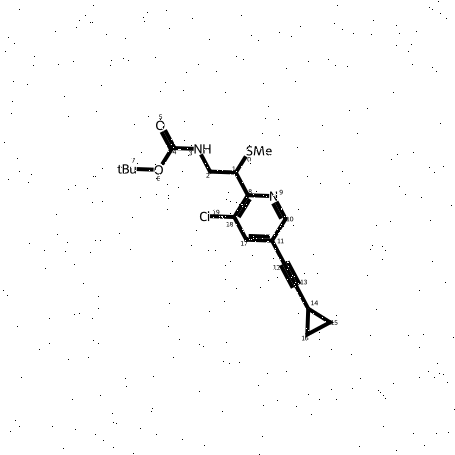 CSC(CNC(=O)OC(C)(C)C)c1ncc(C#CC2CC2)cc1Cl